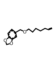 C=CCCCCCOCc1ccc2c(c1)OCO2